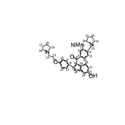 CNc1cc(C(=O)c2c(-c3ccc(OCCN4CCCC4)cc3)sc3cc(O)ccc23)ccc1CN1CCCC1